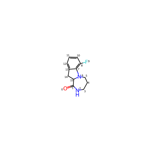 O=C1NCCCN2c3c(F)cccc3CC12